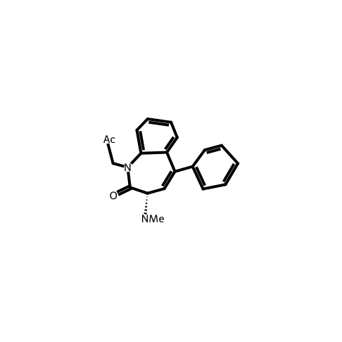 CN[C@H]1C=C(c2ccccc2)c2ccccc2N(CC(C)=O)C1=O